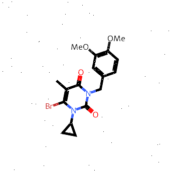 COc1ccc(Cn2c(=O)c(C)c(Br)n(C3CC3)c2=O)cc1OC